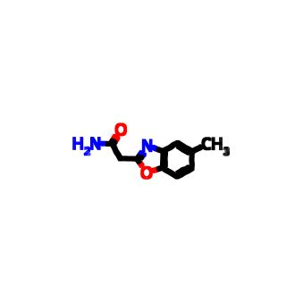 Cc1ccc2oc(CC(N)=O)nc2c1